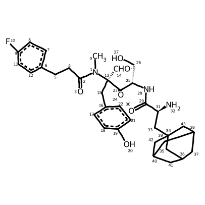 CN(C(=O)CCc1ccc(F)cc1)[C@]([C]=O)(Cc1ccc(O)cc1)C(=O)[C@H](CO)NC(=O)[C@@H](N)CC12CC3CC(CC(C3)C1)C2